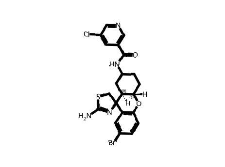 NC1=NC2(CS1)c1cc(Br)ccc1O[C@H]1CCC(NC(=O)c3cncc(Cl)c3)C[C@@H]12